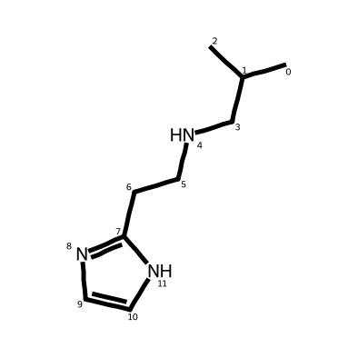 CC(C)CNCCc1ncc[nH]1